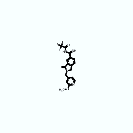 COc1cc(CN2Cc3ccc(C(=N)NC(=O)C(F)(F)F)cc3C2=O)ccn1